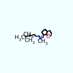 CN(C/C=C/C#CC(C)(C)C)Cc1cccc2c1OCC=C2